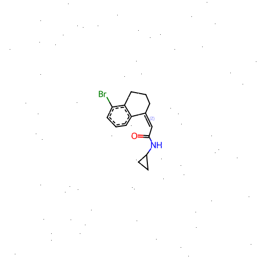 O=C(/C=C1/CCCc2c(Br)cccc21)NC1CC1